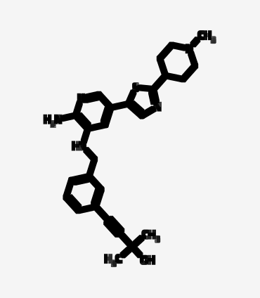 CN1CCC(c2ncc(-c3cnc(N)c(NCc4cccc(C#CC(C)(C)O)c4)c3)s2)CC1